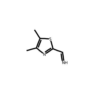 Cc1nc(C=N)sc1C